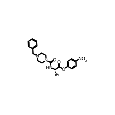 CC(C)[C@H](NC(=O)N1CCN(Cc2ccccc2)CC1)C(=O)Oc1ccc([N+](=O)[O-])cc1